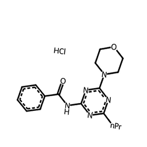 CCCc1nc(NC(=O)c2ccccc2)nc(N2CCOCC2)n1.Cl